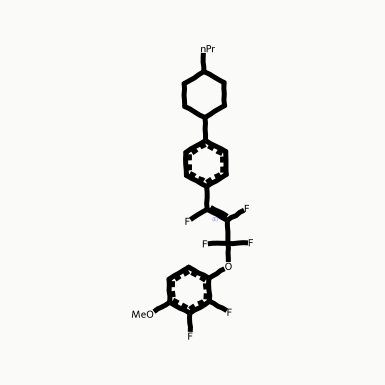 CCCC1CCC(c2ccc(/C(F)=C(\F)C(F)(F)Oc3ccc(OC)c(F)c3F)cc2)CC1